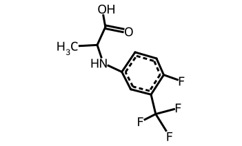 CC(Nc1ccc(F)c(C(F)(F)F)c1)C(=O)O